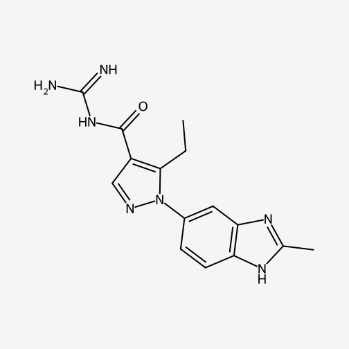 CCc1c(C(=O)NC(=N)N)cnn1-c1ccc2[nH]c(C)nc2c1